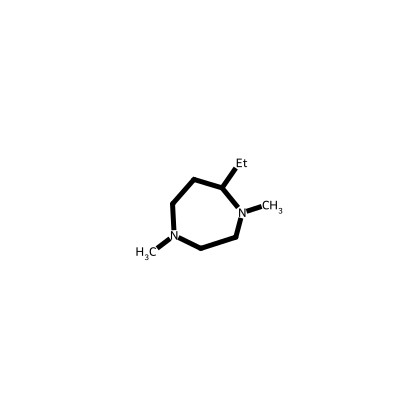 CCC1CCN(C)CCN1C